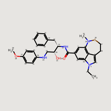 CCn1cc2c3c(cc(C(=O)N[C@@H](Cc4ccccc4)[C@H](O)CNc4ccc(OC)cc4)cc31)N(C)SCC2